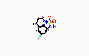 O=S1(=O)Nc2cc(F)cc3c2N1CCC3